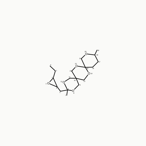 CCC1OC1CC1(C)OCC2(CO1)COC1(CCC(C)OC1)OC2